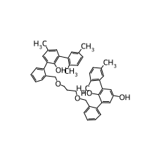 Cc1ccc(C)c(-c2cc(C)cc(-c3ccccc3COCCCOCc3ccccc3-c3cc(O)cc(-c4cc(C)ccc4C)c3O)c2O)c1